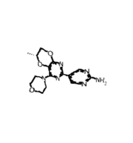 C[C@@H]1COc2nc(-c3cnc(N)nc3)nc(N3CCOCC3)c2O1